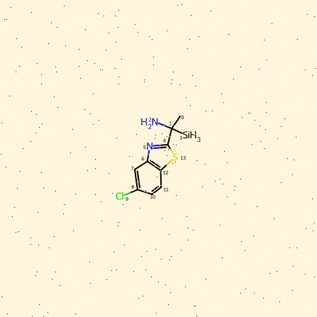 CC(N)([SiH3])c1nc2cc(Cl)ccc2s1